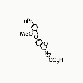 CCCc1ccc(COc2ccc3c(c2)OCC(N2CC(C(=O)O)C2)C3)c(OC)c1